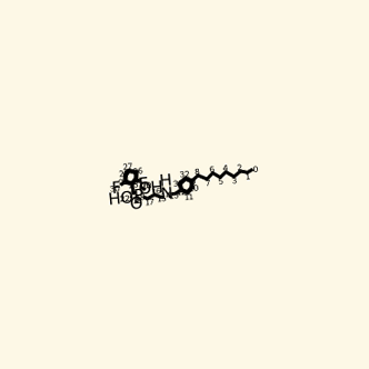 CCCCCCCCCc1ccc(CNCCCP(=O)(O)C(O)c2c(F)cccc2F)cc1